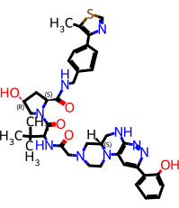 Cc1scnc1-c1ccc(CNC(=O)[C@@H]2C[C@@H](O)CN2C(=O)C(NC(=O)CN2CCN3c4cc(-c5ccccc5O)nnc4NC[C@H]3C2)C(C)(C)C)cc1